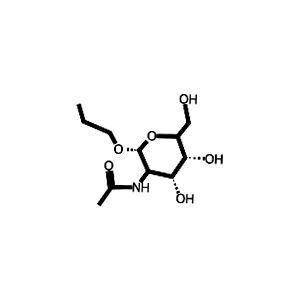 CCCO[C@@H]1OC(CO)[C@H](O)[C@H](O)C1NC(C)=O